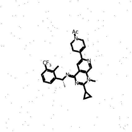 CC(=O)N1CC=C(c2cc3/c(=N/[C@H](C)c4cccc(C(F)(F)F)c4C)nc(C4CC4)n(C)c3cn2)CC1